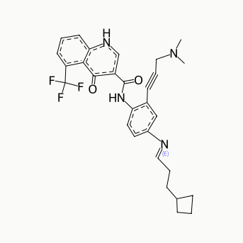 CN(C)CC#Cc1cc(/N=C/CCC2CCC2)ccc1NC(=O)c1c[nH]c2cccc(C(F)(F)F)c2c1=O